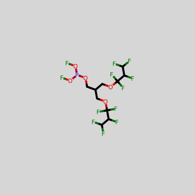 FOP(OF)OCC(COC(F)(F)C(F)C(F)F)COC(F)(F)C(F)C(F)F